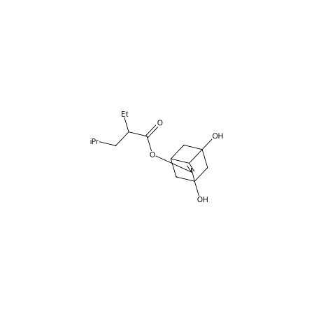 CCC(CC(C)C)C(=O)OC1=C2C3CC(O)(C1)CC2(O)C3